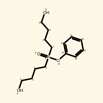 O=P(CCCCO)(CCCCO)Oc1ccccc1